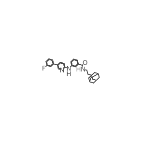 O=C(NCCC12CC3CC(CC(C3)C1)C2)c1cccc(Nc2ccc(-c3cccc(F)c3)cn2)c1